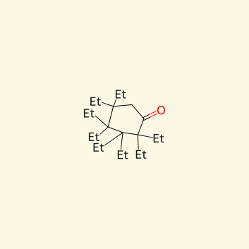 CCC1(CC)CC(=O)C(CC)(CC)C(CC)(CC)C1(CC)CC